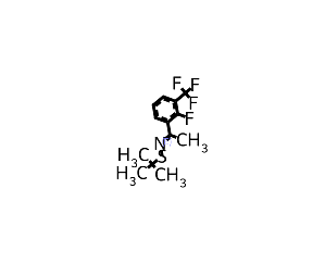 C/C(=N\SC(C)(C)C)c1cccc(C(F)(F)F)c1F